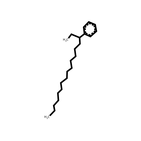 CCCCCCCCCCCCCCC(CC)c1ccccc1